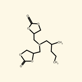 CCCC(C)CN(CC1COC(=O)O1)CC1COC(=O)O1